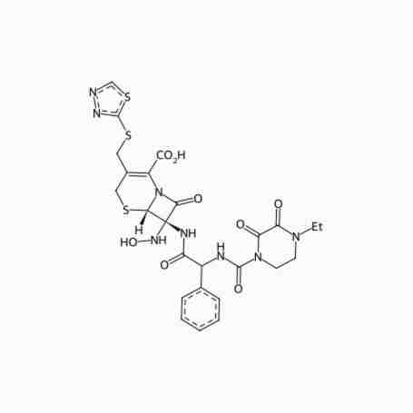 CCN1CCN(C(=O)NC(C(=O)N[C@]2(NO)C(=O)N3C(C(=O)O)=C(CSc4nncs4)CS[C@H]32)c2ccccc2)C(=O)C1=O